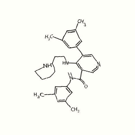 Cc1cc(C)cc(NC(=O)c2cncc(-c3cc(C)cc(C)c3)c2NCCC2CCCCN2)c1